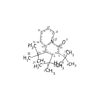 CC(C)(C)c1c(C(C)(C)C)c(=O)n2ccccc2c1C(C)(C)C